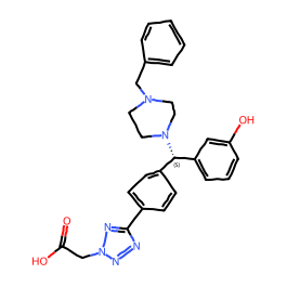 O=C(O)Cn1nnc(-c2ccc([C@@H](c3cccc(O)c3)N3CCN(Cc4ccccc4)CC3)cc2)n1